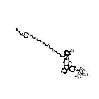 C#CCN1CCN(CCOCCOCCOCCOCCCCn2c(CN3C(=O)C4(CCN(C(=O)OC(C)(C)C)CC4)c4ccncc43)nc3cc(Cl)ccc32)CC1